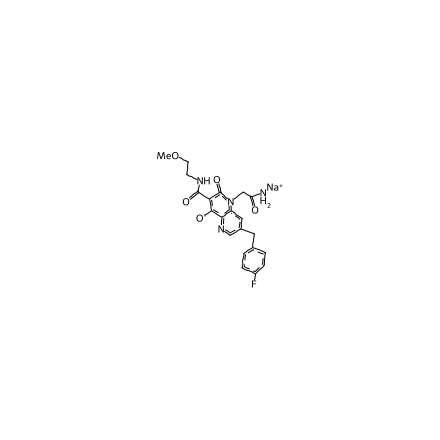 COCCNC(=O)c1c([O-])c2ncc(Cc3ccc(F)cc3)cc2n(CC(N)=O)c1=O.[Na+]